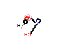 Cc1ccc(S(=O)(=O)[O-])cc1.OCCCCCCC[N+]1(CC#CI)CCCCC1